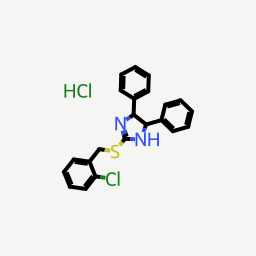 Cl.Clc1ccccc1CSC1=NC(c2ccccc2)C(c2ccccc2)N1